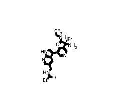 CCC(=O)NCc1cnc2[nH]cc(-c3cncc([C@@](N)(C(=O)NCC(F)(F)F)C(C)C)c3)c2c1